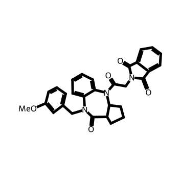 COc1cccc(CN2C(=O)C3CCCC3N(C(=O)CN3C(=O)c4ccccc4C3=O)c3ccccc32)c1